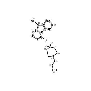 CC1(COc2ccnc3c2c2ccncc2n3C#N)CCN(CCO)CC1